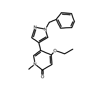 CCOc1cc(=O)n(C)cc1-c1cnn(Cc2ccccc2)c1